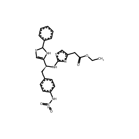 CCOC(=O)Cc1csc(N[C@@H](Cc2ccc(N[SH](=O)=O)cc2)C2=CSC(c3ccccc3)N2)n1